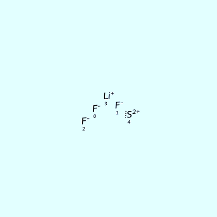 [F-].[F-].[F-].[Li+].[S+2]